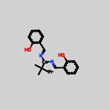 C[C](C)[C](C)(C)[Co]([N]=Cc1ccccc1O)[N]=Cc1ccccc1O